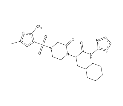 Cc1cc(S(=O)(=O)N2CCN(C(CC3CCCCC3)C(=O)Nc3nccs3)C(=O)C2)c(C(F)(F)F)o1